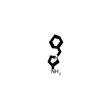 NC1=CN(Cc2ccccc2)CC1